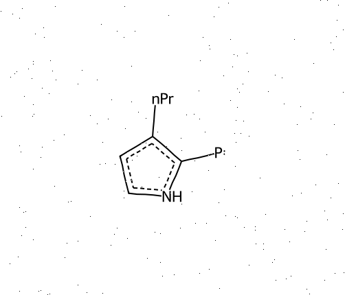 CCCc1cc[nH]c1[P]